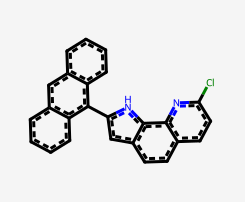 Clc1ccc2ccc3cc(-c4c5ccccc5cc5ccccc45)[nH]c3c2n1